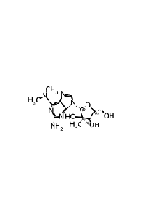 CN(C)c1nc(N)nc2c1ncn2[C@@H]1O[C@H](CO)[C@@H](O)[C@@]1(C)O